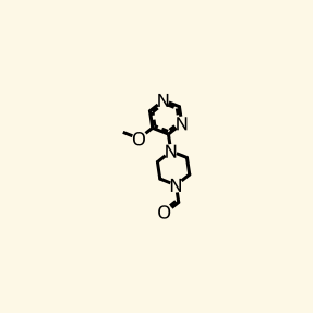 COc1cncnc1N1CCN(C=O)CC1